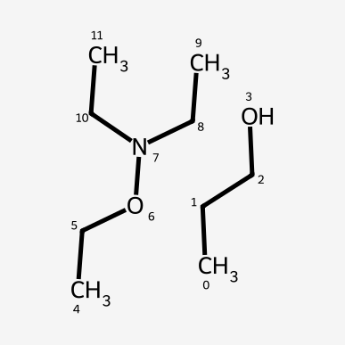 CCCO.CCON(CC)CC